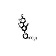 O=C1CCC(c2c(F)cc(N3CCC[C@H](C(=O)O)C3)cc2F)C(=O)N1